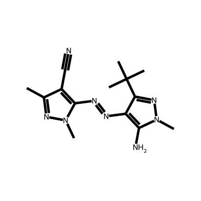 Cc1nn(C)c(N=Nc2c(C(C)(C)C)nn(C)c2N)c1C#N